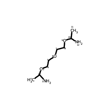 CC(N)OCCOCCOC(C)N